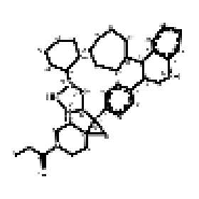 CCC(=O)N1CCC2(CC1)C[C@@]2(c1ccc(C2CNc3ccccc3C2C2CCCCCC2)cc1)C1NNN(C2CCCCC2)N1